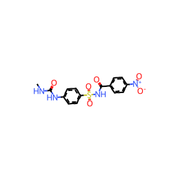 CNC(=O)Nc1ccc(S(=O)(=O)NC(=O)c2ccc([N+](=O)[O-])cc2)cc1